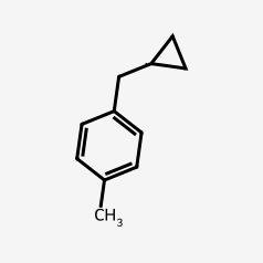 Cc1ccc(C[C]2CC2)cc1